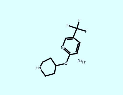 FC(F)(F)c1ccc(OC2CCNCC2)nc1.[H-].[Na+]